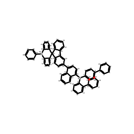 c1ccc(-c2ccc(N(c3ccccc3-c3ccccc3)c3ccc(-c4ccc5c(c4)-c4ccccc4C54c5ccccc5N(c5ccccc5)c5ccccc54)c4ccccc34)cc2)cc1